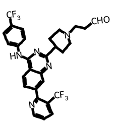 O=CCCN1CCC(c2nc(Nc3ccc(C(F)(F)F)cc3)c3ccc(-c4ncccc4C(F)(F)F)cc3n2)CC1